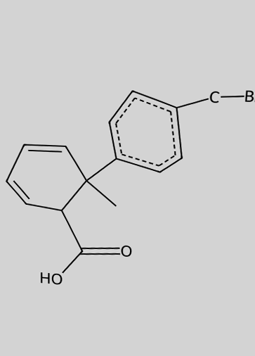 CC1(c2ccc(CBr)cc2)C=CC=CC1C(=O)O